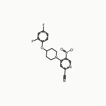 N#Cc1cc(N2CCC(Oc3ccc(F)cc3F)CC2)c([N+](=O)[O-])cn1